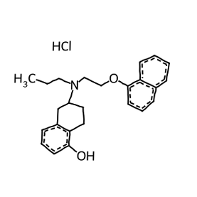 CCCN(CCOc1cccc2ccccc12)C1CCc2c(O)cccc2C1.Cl